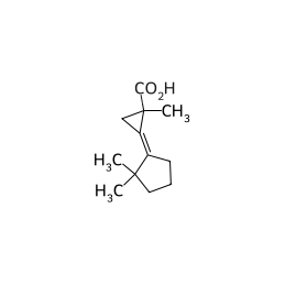 CC1(C)CCCC1=C1CC1(C)C(=O)O